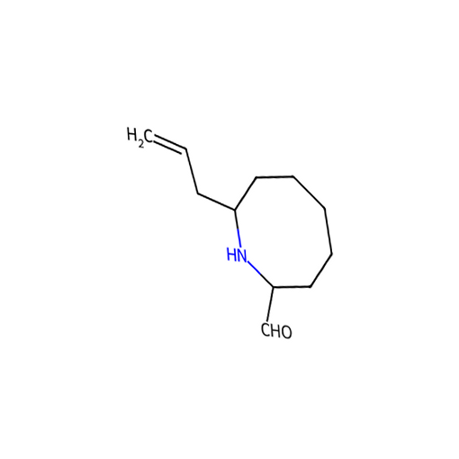 C=CCC1CCCCCC(C=O)N1